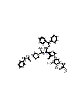 C=c1/c(=C(\N=C(/N)N2CC[C@H](NC(=O)Nc3cccnc3)C2)NCC(c2ccccc2)c2ccccc2)ncn1[C@@H]1C[C@H](NC(=O)OC)[C@@H](O)[C@H]1O